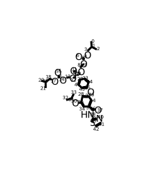 CC(C)COC(=O)OCOP(=O)(OCOC(=O)OCC(C)C)c1ccc(Oc2cc(OC(C)C)cc(C(=O)Nc3nccs3)c2)cc1